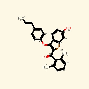 C/C=C/c1ccc(Oc2c(C(=O)c3c(C)cccc3C)sc3cc(O)ccc23)cc1